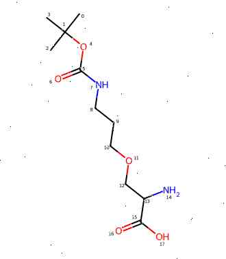 CC(C)(C)OC(=O)NCCCOCC(N)C(=O)O